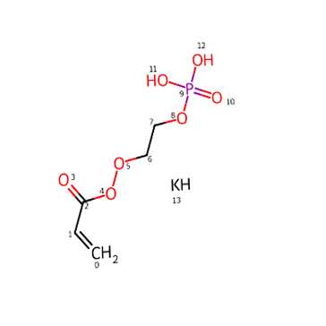 C=CC(=O)OOCCOP(=O)(O)O.[KH]